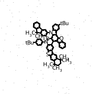 CC(C)(C)c1ccc(N2B3c4cc5c(cc4-n4c6ccc(C(C)(C)C)cc6c6c7oc8ccccc8c7c(c3c64)-c3cc4c(cc32)sc2cc3c(cc24)C(C)(C)CCC3(C)C)-c2ccccc2C5(C)C)cc1